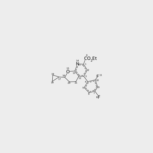 CCOC(=O)c1cc(-c2ccc(F)cc2F)c2c(n1)OC(C1CC1)CC2